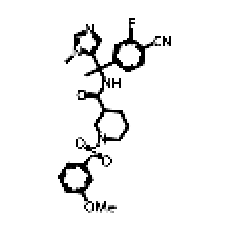 COc1cccc(S(=O)(=O)N2CCCC(C(=O)NC(C)(c3ccc(C#N)c(F)c3)c3cncn3C)C2)c1